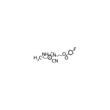 C[C@@H](N)Cc1cc(C#N)c2c(c1)CCN2CCCOC(=O)c1ccc(F)cc1